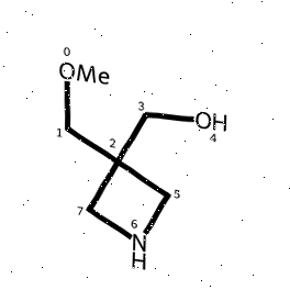 COCC1(CO)CNC1